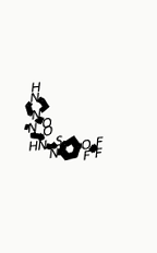 CN(CC(=O)Nc1nc2ccc(OC(F)(F)F)cc2s1)C(=O)N1CCNCC1